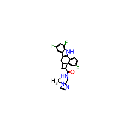 Cn1ccnc1CNC(=O)C1CC(Cc2c(-c3ccc(F)cc3)[nH]c3c(F)cc(F)cc23)C1